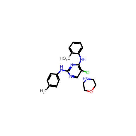 C1COCCN1.Cc1ccc(Nc2ncc(Cl)c(Nc3ccccc3C(=O)O)n2)cc1